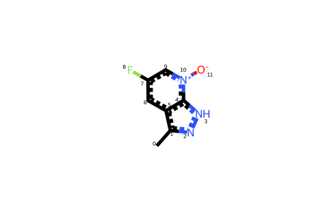 Cc1n[nH]c2c1cc(F)c[n+]2[O-]